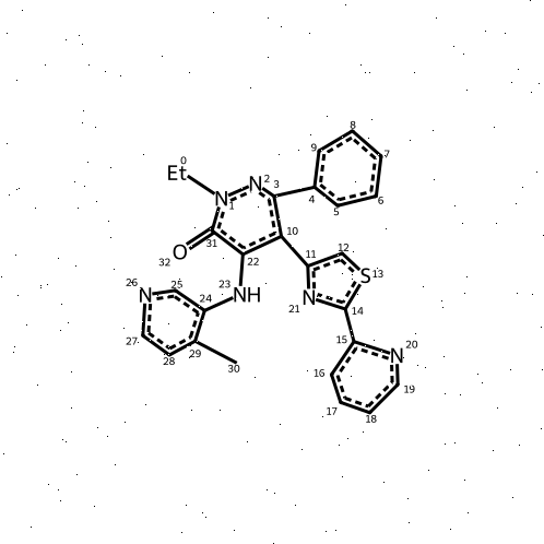 CCn1nc(-c2ccccc2)c(-c2csc(-c3ccccn3)n2)c(Nc2cnccc2C)c1=O